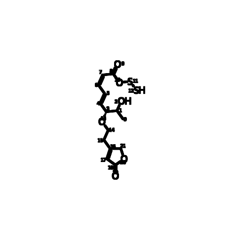 CC(O)[C@@H](/C=C/C=C\C(=O)OSS)OCCC1=CC(=O)OC1